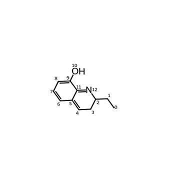 CCC1CC=c2cccc(O)c2=N1